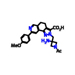 COc1ccc(-c2cc3c(cn2)CCc2c-3nn(CC3(N)CN(C(C)=O)C3)c2C(=O)O)cc1